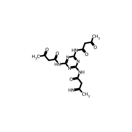 CC(=N)CC(=O)Nc1nc(NC(=O)CC(C)=O)nc(NC(=O)CC(C)=O)n1